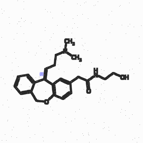 CN(C)CC/C=C1/c2ccccc2COc2ccc(CC(=O)NCCO)cc21